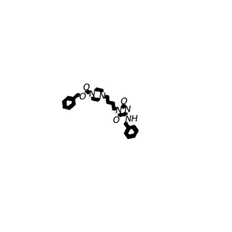 O=C(OCc1ccccc1)N1CCN(CCCCN2C(=O)N=C(NCc3ccccc3)C2=O)CC1